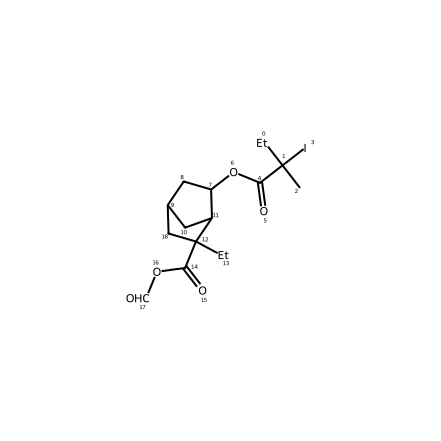 CCC(C)(I)C(=O)OC1CC2CC1C(CC)(C(=O)OC=O)C2